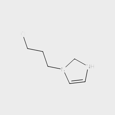 ClCCCN1C=CNC1